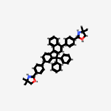 CC1(C)COC(c2ccc(-c3ccc4c(c3)C(c3ccccc3)(c3ccccc3)c3cc(-c5ccc(C6=NC(C)(C)CO6)cc5)c5ccccc5c3-4)cc2)=N1